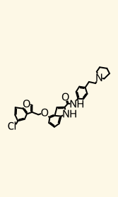 O=C(Nc1ccc(CCN2CCCCC2)cc1)c1cc2c(OCc3coc4ccc(Cl)cc34)cccc2[nH]1